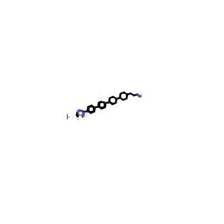 C=C(CC)/C(F)=C(F)\C(=C/C)c1ccc(-c2ccc(C3=CCC(C4CCC(CC/C=C/C)CC4)CC3)c(F)c2)cc1